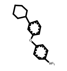 Nc1ccc(Oc2cccc(C3CCCCC3)c2)cc1